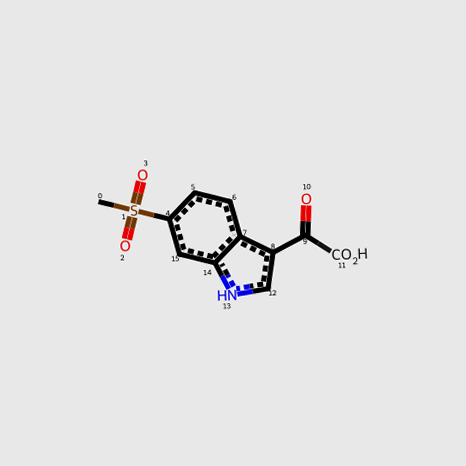 CS(=O)(=O)c1ccc2c(C(=O)C(=O)O)c[nH]c2c1